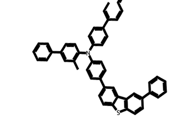 C=C/C=C\C(=C/C)c1ccc(N(c2ccc(-c3ccc4sc5ccc(-c6ccccc6)cc5c4c3)cc2)c2ccc(-c3ccccc3)cc2C)cc1